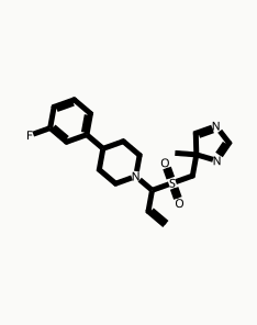 C=CC(N1CCC(c2cccc(F)c2)CC1)S(=O)(=O)CC1(C)C=NC=N1